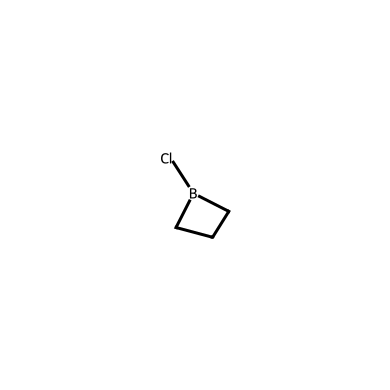 ClB1CCC1